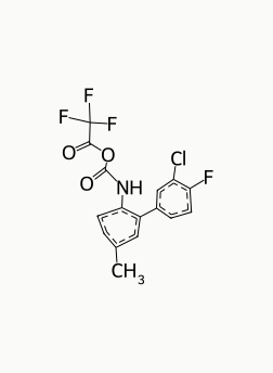 Cc1ccc(NC(=O)OC(=O)C(F)(F)F)c(-c2ccc(F)c(Cl)c2)c1